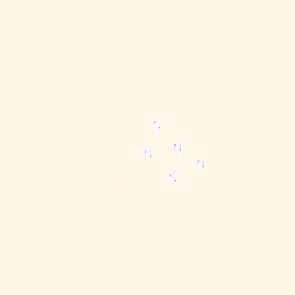 c1ccc(-c2cc(-c3ccccc3)nc(-n3ccnc3N(c3ccccc3)c3ccccc3)n2)cc1